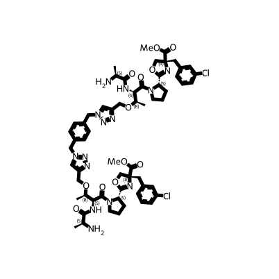 COC(=O)[C@@]1(Cc2cccc(Cl)c2)COC([C@@H]2CCCN2C(=O)[C@@H](NC(=O)[C@H](C)N)[C@@H](C)OCc2cn(Cc3ccc(Cn4cc(CO[C@H](C)[C@H](NC(=O)[C@H](C)N)C(=O)N5CCC[C@H]5C5=N[C@@](Cc6cccc(Cl)c6)(C(=O)OC)CO5)nn4)cc3)nn2)=N1